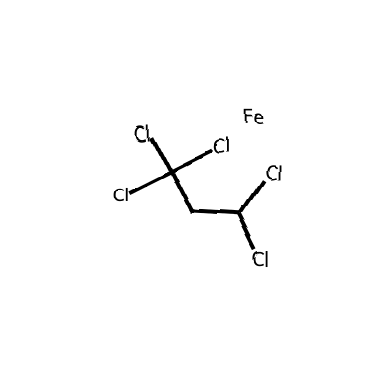 ClC(Cl)CC(Cl)(Cl)Cl.[Fe]